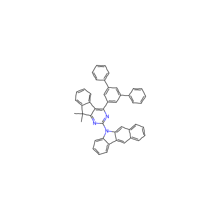 CC1(C)c2ccccc2-c2c(-c3cc(-c4ccccc4)cc(-c4ccccc4)c3)nc(-n3c4ccccc4c4cc5ccccc5cc43)nc21